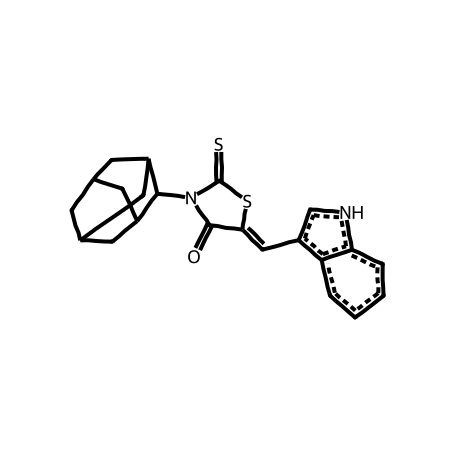 O=C1C(=Cc2c[nH]c3ccccc23)SC(=S)N1C1C2CC3CC(C2)CC1C3